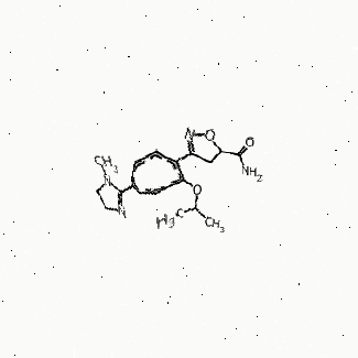 CC(C)Oc1cc(C2=NCCN2C)ccc1C1=NOC(C(N)=O)C1